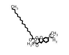 CCCCCCCCCCCCCCCCCC(=O)ON(C)C(=O)c1cc2ccc(N(CC)CC)cc2oc1=O